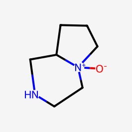 [O-][N+]12CCCC1CNCC2